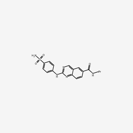 CC(C)NC(=O)c1ccc2nc(Nc3ccc(S(N)(=O)=O)cc3)ncc2c1